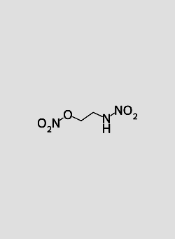 O=[N+]([O-])NCCO[N+](=O)[O-]